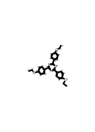 CCOc1ccc(-c2nc(-c3ccc(OCC)cc3)nc(-c3ccc(OCC)cc3)n2)cc1